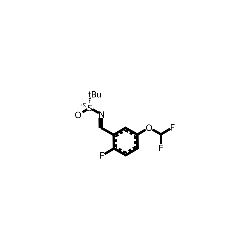 CC(C)(C)[S@@+]([O-])N=Cc1cc(OC(F)F)ccc1F